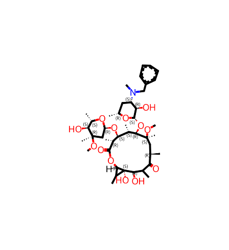 CO[C@]1(C)C[C@H](O[C@H]2[C@H](C)[C@@H](O[C@@H]3O[C@H](C)C[C@H](N(C)Cc4ccccc4)[C@H]3O)[C@@](C)(OC)C[C@@H](C)C(=O)C(C)[C@@H](O)[C@@]3(O)C(C)[C@H]3OC(=O)[C@@H]2C)O[C@@H](C)[C@@H]1O